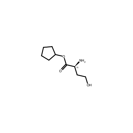 N[C@@H](CCO)C(=O)OC1CCCC1